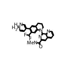 CNC(=O)c1cc2cccnc2c(N2CCCc3cc(C(/C=C\N)=C/N)c(C(F)F)cc32)n1